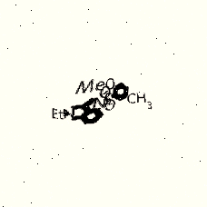 CCN1Cc2cccc3c2c(cn3S(=O)(=O)c2cc(C)ccc2OC)C1